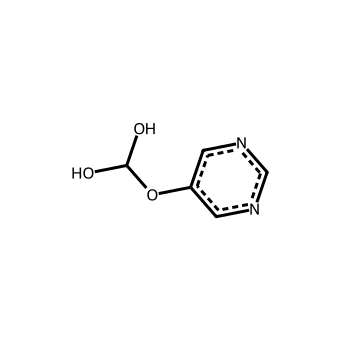 OC(O)Oc1cncnc1